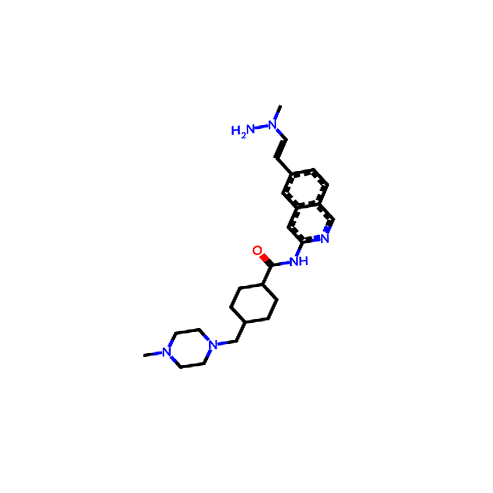 CN(N)/C=C/c1ccc2cnc(NC(=O)C3CCC(CN4CCN(C)CC4)CC3)cc2c1